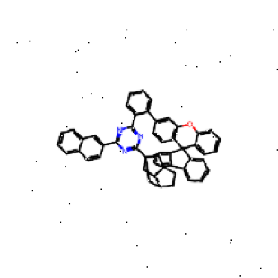 c1ccc2c(c1)Oc1cc(-c3ccccc3-c3nc(-c4ccc5ccccc5c4)nc(C45CC6CCC(C4)C6C5)n3)ccc1C21c2ccccc2-c2ccccc21